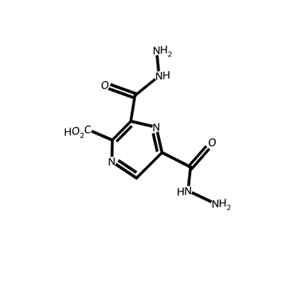 NNC(=O)c1cnc(C(=O)O)c(C(=O)NN)n1